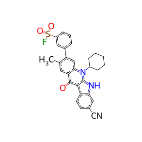 Cc1cc2c(=O)c3c4ccc(C#N)cc4[nH]c3n(C3CCCCC3)c2cc1-c1cccc(S(=O)(=O)F)c1